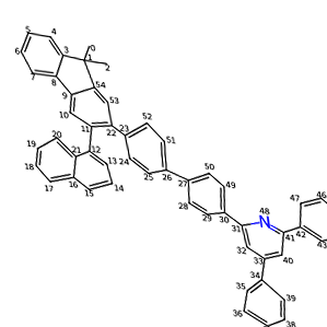 CC1(C)c2ccccc2-c2cc(-c3cccc4ccccc34)c(-c3ccc(-c4ccc(-c5cc(-c6ccccc6)cc(-c6ccccc6)n5)cc4)cc3)cc21